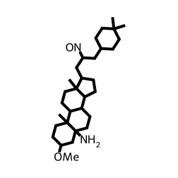 COC1CCC2(C)C3CCC4(C)C(CC(CC5CCC(C)(C)CC5)N=O)CCC4C3CCC2(N)C1